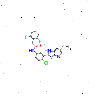 Cc1cnc2nc(-c3cc(NC(=O)Cc4c(F)cccc4F)ccc3Cl)[nH]c2c1